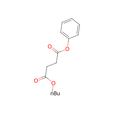 CCCCOC(=O)CCC(=O)Oc1ccccc1